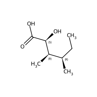 CC[C@@H](C)[C@@H](C)[C@H](O)C(=O)O